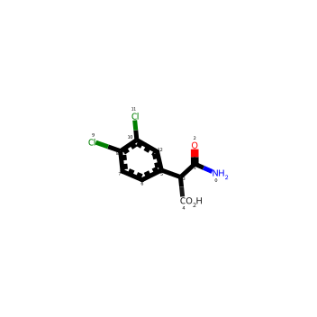 NC(=O)C(C(=O)O)c1ccc(Cl)c(Cl)c1